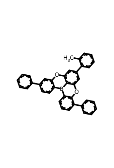 Cc1ccccc1-c1cc2c3c(c1)Oc1c(cccc1-c1ccccc1)B3c1ccc(-c3ccccc3)cc1O2